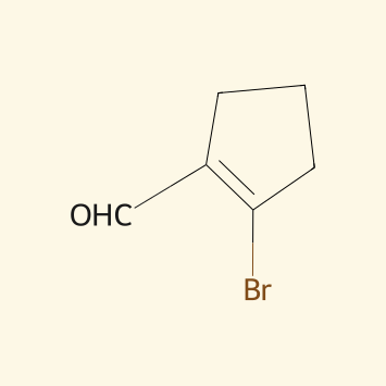 O=CC1=C(Br)CCC1